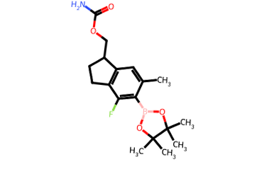 Cc1cc2c(c(F)c1B1OC(C)(C)C(C)(C)O1)CCC2COC(N)=O